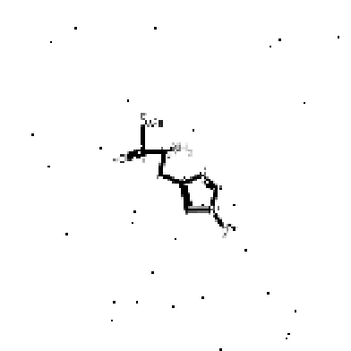 CCCn1cnc(C[C@H](N)C(=O)OC)c1